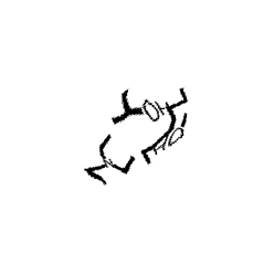 CC(C)O.CCCCCC.CCN(CC)CC.CO